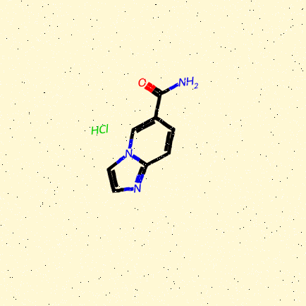 Cl.NC(=O)c1ccc2nccn2c1